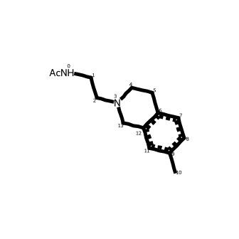 CC(=O)NCCN1CCc2ccc(C)cc2C1